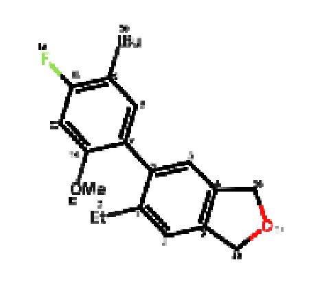 CCc1cc2c(cc1-c1cc(C(C)(C)C)c(F)cc1OC)COC2